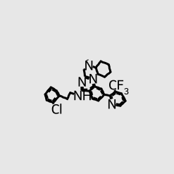 CN(Cc1nc(NCCc2ccccc2Cl)c2ccc(-c3ncccc3C(F)(F)F)cc2n1)C1CCCCC1